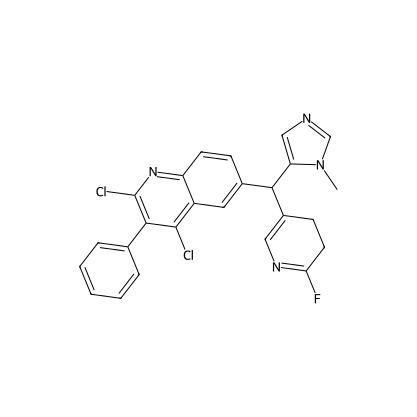 Cn1cncc1C(C1=CN=C(F)CC1)c1ccc2nc(Cl)c(-c3ccccc3)c(Cl)c2c1